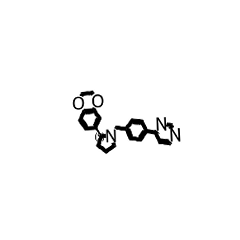 c1cc(-c2ccc(CN3CCC[C@H]3c3ccc4c(c3)OCCO4)cc2)ncn1